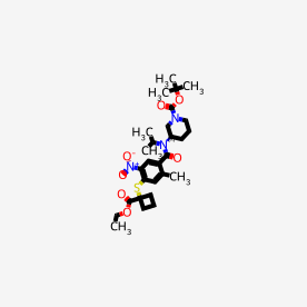 CCOC(=O)C1(Sc2cc(C)c(C(=O)N(C(C)C)[C@@H]3CCCN(C(=O)OC(C)(C)C)C3)cc2[N+](=O)[O-])CCC1